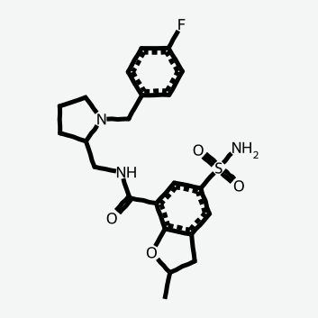 CC1Cc2cc(S(N)(=O)=O)cc(C(=O)NCC3CCCN3Cc3ccc(F)cc3)c2O1